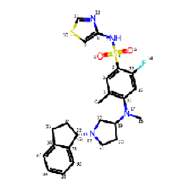 Cc1cc(S(=O)(=O)Nc2cscn2)c(F)cc1N(C)C1CCN([C@H]2CCc3ccccc32)C1